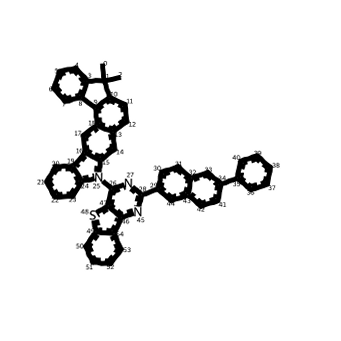 CC1(C)c2ccccc2-c2c1ccc1cc3c(cc21)c1ccccc1n3-c1nc(-c2ccc3cc(-c4ccccc4)ccc3c2)nc2c1sc1ccccc12